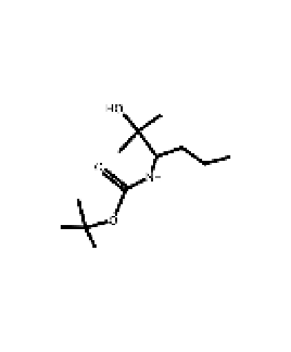 CCCC(NC(=O)OC(C)(C)C)C(C)(C)O